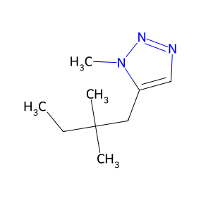 CCC(C)(C)Cc1cnnn1C